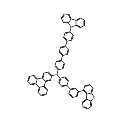 c1cc(-c2ccc(N(c3ccc(-c4ccc(-c5ccc(-n6c7ccccc7c7ccccc76)cc5)cc4)cc3)c3ccc4c5ccccc5c5ccccc5c4c3)cc2)cc(-c2cccc3oc4ccccc4c23)c1